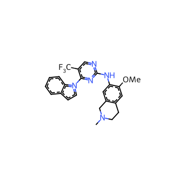 COc1cc2c(cc1Nc1ncc(C(F)(F)F)c(-n3ccc4ccccc43)n1)CN(C)CC2